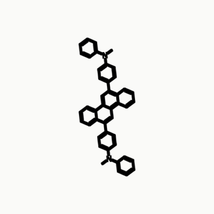 CN(C1=C=C=CC=C1)c1ccc(-c2cc3c4ccccc4c(-c4ccc(N(C)c5ccccc5)cc4)cc3c3ccccc23)cc1